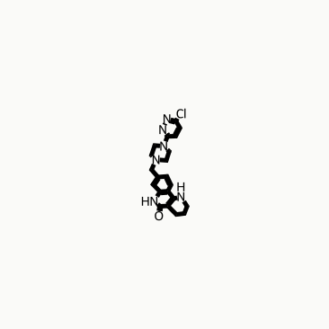 O=c1[nH]c2cc(CN3CCN(c4ccc(Cl)nn4)CC3)ccc2c2c1CCCN2